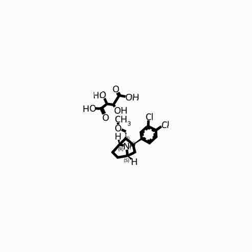 COC[C@@H]1[C@@H](c2ccc(Cl)c(Cl)c2)C[C@@H]2CC[C@H]1N2.O=C(O)C(O)C(O)C(=O)O